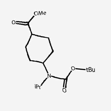 COC(=O)C1CCC(N(C(=O)OC(C)(C)C)C(C)C)CC1